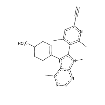 C#Cc1cc(C)c(-c2c(C3=CCC(C(=O)O)CC3)c3c(C)ncnc3n2C)c(C)n1